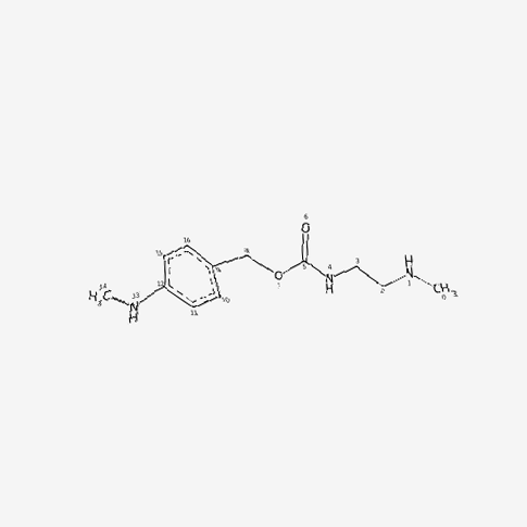 CNCCNC(=O)OCc1ccc(NC)cc1